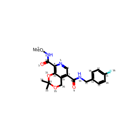 CONC(=O)c1ncc(C(=O)NCc2ccc(F)cc2)c2c1OC(C)(C)OC2